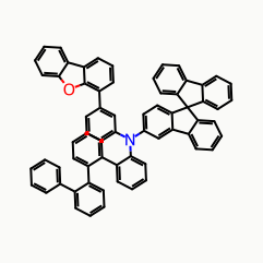 c1ccc(-c2ccccc2-c2ccccc2-c2ccccc2N(c2cccc(-c3cccc4c3oc3ccccc34)c2)c2ccc3c(c2)-c2ccccc2C32c3ccccc3-c3ccccc32)cc1